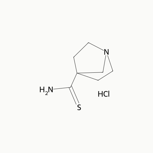 Cl.NC(=S)C12CCN(CC1)C2